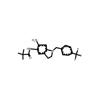 CC(C)(C)C(=O)Nc1cc2c(cc1N)N(Cc1ccc(C(F)(F)F)cc1)CC2